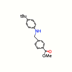 COC(=O)c1ccc(CNc2ccc(C(C)(C)C)cc2)cc1